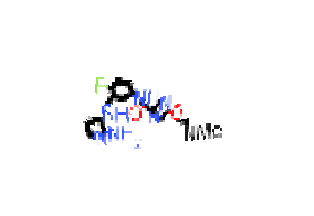 CNCCOc1cnc(C(=O)Nc2ccc(F)c(CNc3cccnc3N)c2)cn1